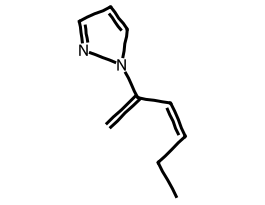 C=C(/C=C\CC)n1cccn1